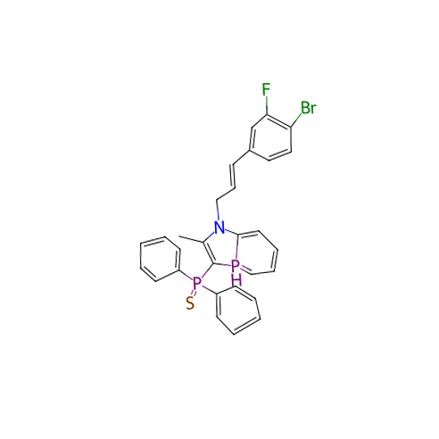 CC1=C(P(=S)(c2ccccc2)c2ccccc2)[PH]2=CC=CC=C2N1C/C=C/c1ccc(Br)c(F)c1